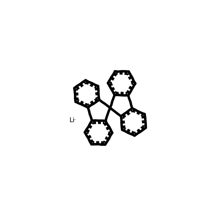 [Li].c1ccc2c(c1)-c1ccccc1C21c2ccccc2-c2ccccc21